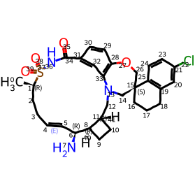 C[C@@H]1CC/C=C/[C@H](N)[C@@H]2CC[C@H]2CN2C[C@@]3(CCCc4cc(Cl)ccc43)COc3ccc(cc32)C(=O)NS1(=O)=O